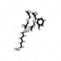 C(OCC1CO1)C1CO1.C(OCC1CO1)C1CO1.Cc1ccccc1.OCCCCCCO